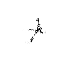 CCCCCCCc1cc(OCCCc2ccc(C(=O)O)cc2)cc2c3c(C(=O)NN)cccc3n(Cc3cccc(CCc4ccccc4)c3)c12